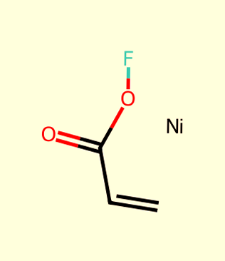 C=CC(=O)OF.[Ni]